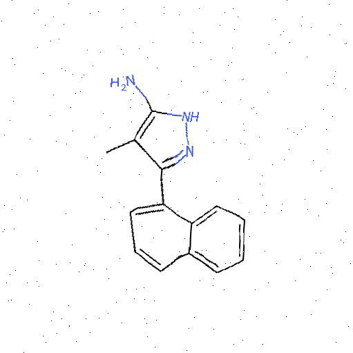 Cc1c(-c2cccc3ccccc23)n[nH]c1N